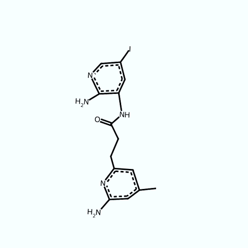 Cc1cc(N)nc(CCC(=O)Nc2cc(I)cnc2N)c1